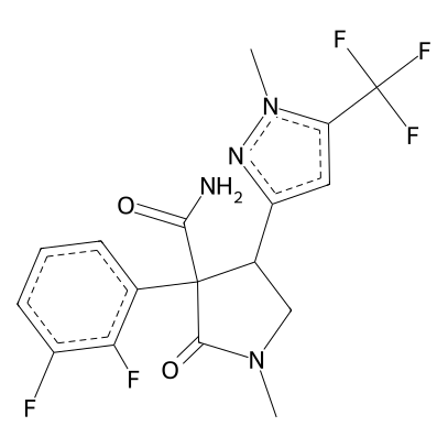 CN1CC(c2cc(C(F)(F)F)n(C)n2)C(C(N)=O)(c2cccc(F)c2F)C1=O